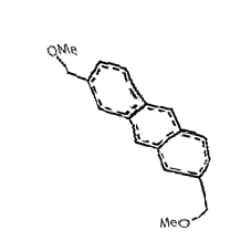 COCc1ccc2cc3ccc(COC)cc3cc2c1